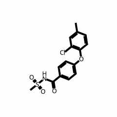 Cc1ccc(Oc2ccc(C(=O)NS(C)(=O)=O)cc2)c(Cl)c1